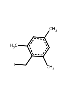 Cc1cc(C)c(CI)c(C)c1